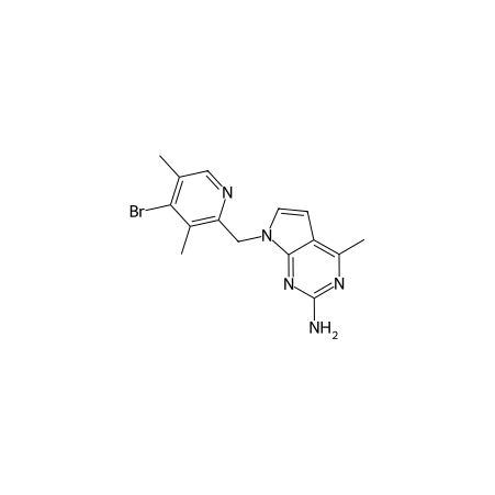 Cc1cnc(Cn2ccc3c(C)nc(N)nc32)c(C)c1Br